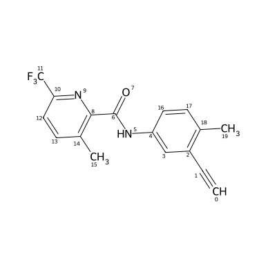 C#Cc1cc(NC(=O)c2nc(C(F)(F)F)ccc2C)ccc1C